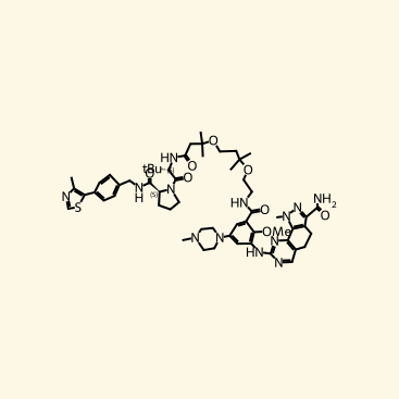 COc1c(Nc2ncc3c(n2)-c2c(c(C(N)=O)nn2C)CC3)cc(N2CCN(C)CC2)cc1C(=O)NCCOC(C)(C)CCOC(C)(C)CC(=O)N[C@H](C(=O)N1CCC[C@H]1C(=O)NCc1ccc(-c2scnc2C)cc1)C(C)(C)C